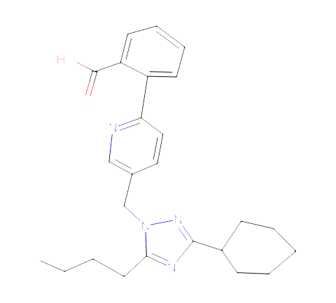 CCCCc1nc(C2CCCCC2)nn1Cc1ccc(-c2ccccc2C(=O)O)nc1